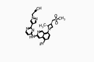 C#CCn1cc(-c2nccc(Nc3cc4c(C(C)C)ccc(N5C[C@H](CS(C)(=O)=O)[C@H]5C)c4cn3)n2)cn1